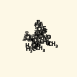 COCCN(C=O)c1cnc(N(Cc2cc(C(F)(F)F)cc(C(F)(F)F)c2)Cc2cc3c(C)nn(C(C)(C)C)c3nc2N(CC2CC2)CC2CC2)nc1